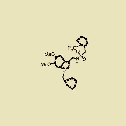 COc1cc2c(CNS(=O)(=O)Cc3ccccc3C(F)(F)F)cn(Cc3ccccc3)c2cc1OC